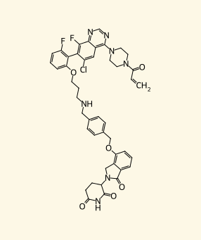 C=CC(=O)N1CCN(c2ncnc3c(F)c(-c4c(F)cccc4OCCCNCc4ccc(COc5cccc6c5CN(C5CCC(=O)NC5=O)C6=O)cc4)c(Cl)cc23)CC1